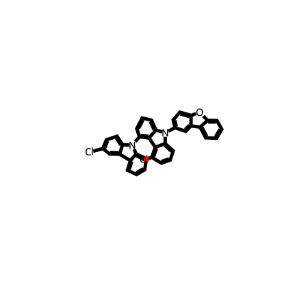 Clc1ccc2c(c1)c1ccccc1n2-c1cccc2c1c1c(Cl)cccc1n2-c1ccc2oc3ccccc3c2c1